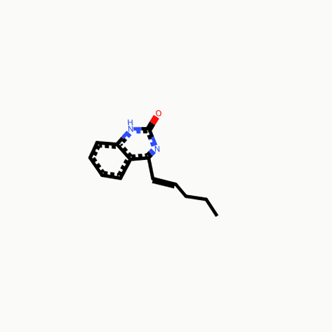 CCCC=Cc1nc(=O)[nH]c2ccccc12